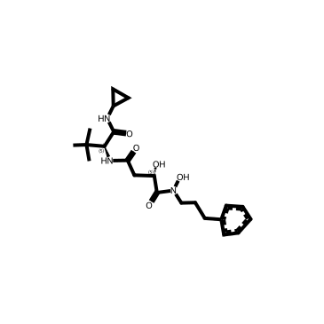 CC(C)(C)[C@H](NC(=O)C[C@H](O)C(=O)N(O)CCCc1ccccc1)C(=O)NC1CC1